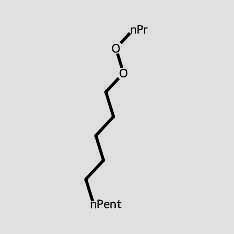 CCCCCCCCCCOOCCC